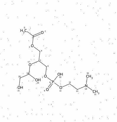 CC(=O)OCC(COP(=O)(O)OCCN(C)C)OC(O)CO